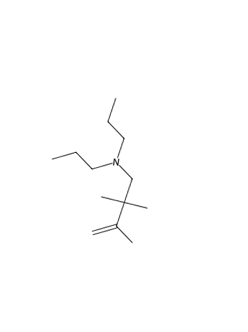 C=C(C)C(C)(C)CN(CCC)CCC